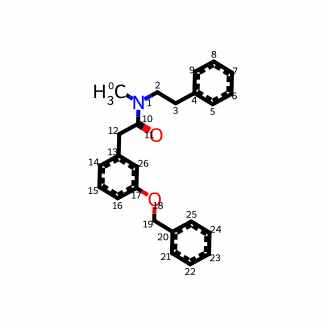 CN(CCc1ccccc1)C(=O)Cc1cccc(OCc2ccccc2)c1